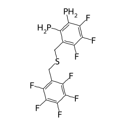 Fc1c(F)c(F)c(CSCc2c(F)c(F)c(F)c(P)c2P)c(F)c1F